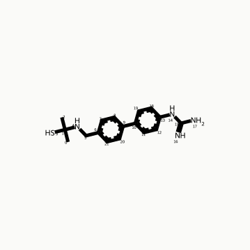 CC(C)(S)NCc1ccc(-c2ccc(NC(=N)N)cc2)cc1